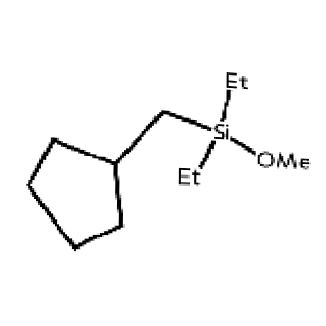 CC[Si](CC)(CC1CCCC1)OC